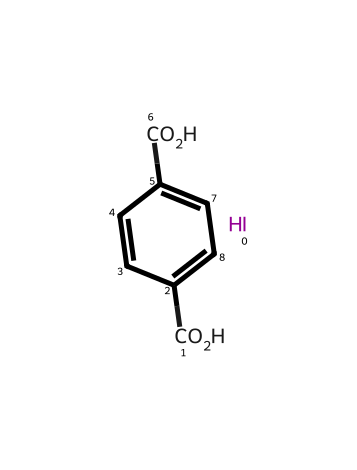 I.O=C(O)c1ccc(C(=O)O)cc1